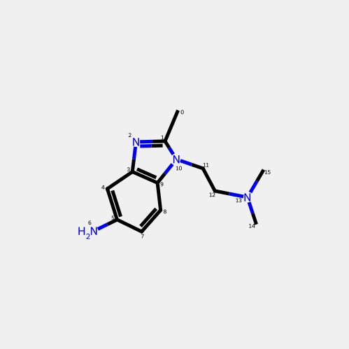 Cc1nc2cc(N)ccc2n1CCN(C)C